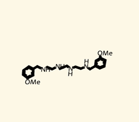 COc1cccc(CNCCNCCNCCNCc2cccc(OC)c2)c1